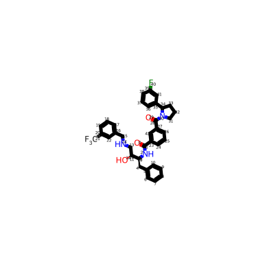 O=C(N[C@@H](Cc1ccccc1)[C@H](O)CNCc1cccc(C(F)(F)F)c1)c1cccc(C(=O)N2CCCC2c2cccc(F)c2)c1